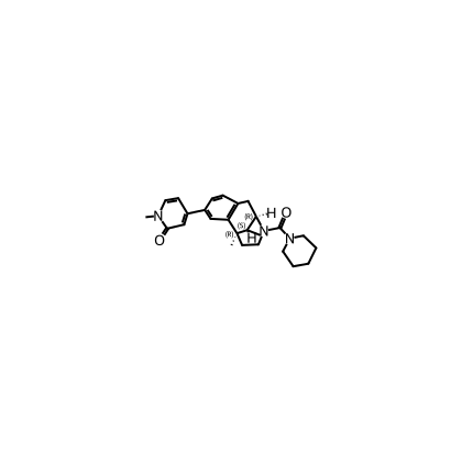 C[C@@H]1[C@H]2Cc3ccc(-c4ccn(C)c(=O)c4)cc3[C@]1(C)CCN2C(=O)N1CCCCC1